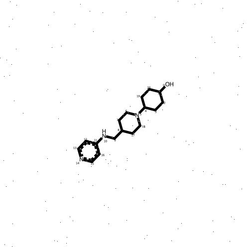 O[C]1CCC(N2CCC(CNc3ccncc3)CC2)CC1